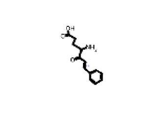 NC(CCC(=O)O)C(=O)/C=C/c1ccccc1